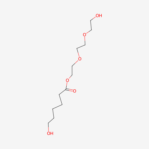 O=C(CCCCCO)OCCOCCOCCO